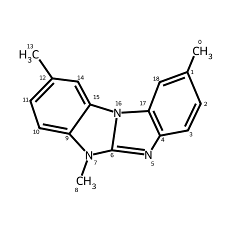 Cc1ccc2nc3n(C)c4ccc(C)cc4n3c2c1